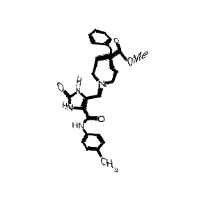 COC(=O)C1(c2ccccc2)CCN(Cc2[nH]c(=O)[nH]c2C(=O)Nc2ccc(C)cc2)CC1